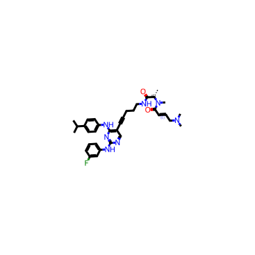 CC(C)c1ccc(Nc2nc(Nc3cccc(F)c3)ncc2C#CCCCNC(=O)[C@H](C)N(C)C(=O)/C=C/CN(C)C)cc1